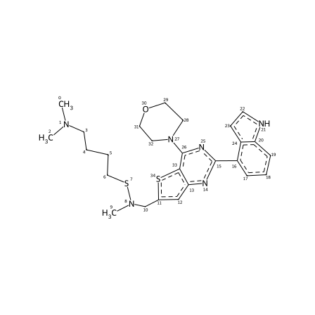 CN(C)CCCCSN(C)Cc1cc2nc(-c3cccc4[nH]ccc34)nc(N3CCOCC3)c2s1